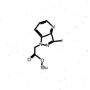 CC(C)(C)OC(=O)Cn1nc(I)c2ncccc21